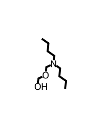 CCCCN(CCCC)COCO